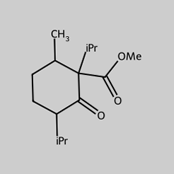 COC(=O)C1(C(C)C)C(=O)C(C(C)C)CCC1C